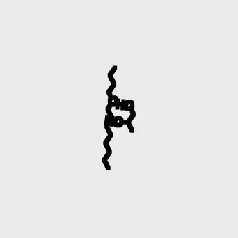 CC(O)CO.CCCCCCCCOCCCC